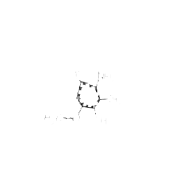 COc1cc(F)c(N)c(C)c1C